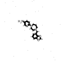 Nc1ccc(N2CCCN(Cc3cccc4c3OCO4)CC2)nc1